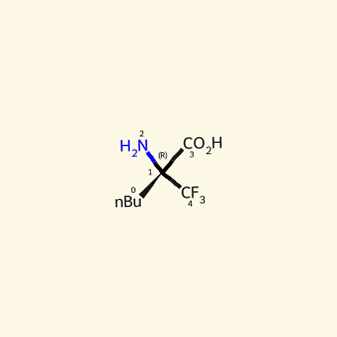 CCCC[C@@](N)(C(=O)O)C(F)(F)F